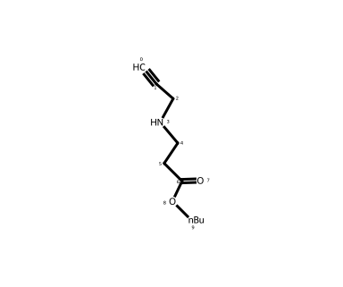 C#CCNCCC(=O)OCCCC